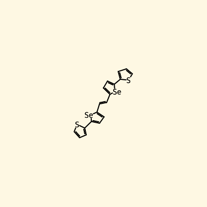 C(=Cc1ccc(-c2cccs2)[se]1)c1ccc(-c2cccs2)[se]1